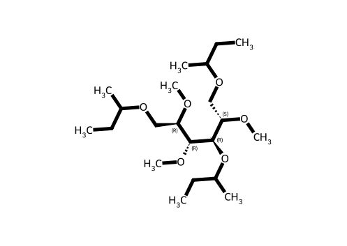 CCC(C)OC[C@H](OC)[C@@H](OC(C)CC)[C@H](OC)[C@@H](COC(C)CC)OC